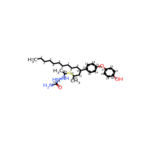 CCCCCCCCCCC(CC(C)SC(C)NNC(N)=O)c1ccc(Oc2ccc(O)cc2)cc1